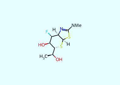 CNC1=N[C@H]2[C@@H](S1)S[C@H]([C@H](C)O)[C@@H](O)[C@H]2F